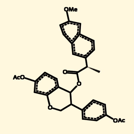 COc1ccc2cc([C@H](C)C(=O)OC3c4ccc(OC(C)=O)cc4OCC3c3ccc(OC(C)=O)cc3)ccc2c1